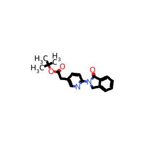 CC(C)(C)OC(=O)Cc1ccc(N2Cc3ccccc3C2=O)nc1